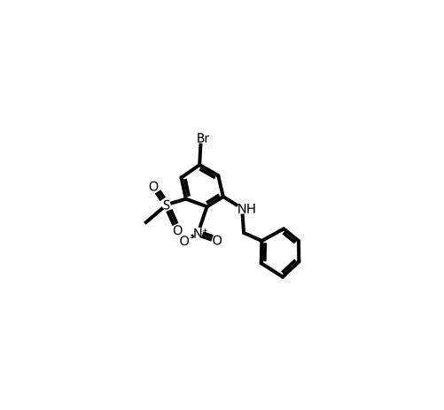 CS(=O)(=O)c1cc(Br)cc(NCc2ccccc2)c1[N+](=O)[O-]